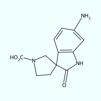 Nc1ccc2c(c1)NC(=O)C21CCN(C(=O)O)C1